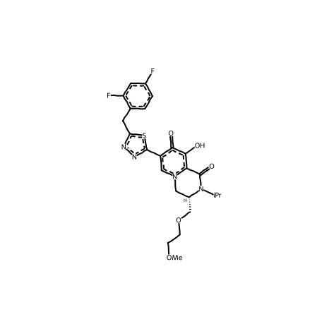 COCCOC[C@@H]1Cn2cc(-c3nnc(Cc4ccc(F)cc4F)s3)c(=O)c(O)c2C(=O)N1C(C)C